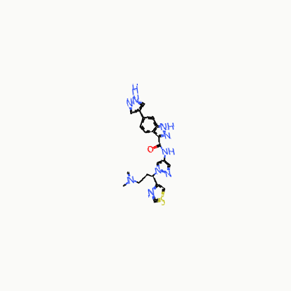 CN(C)CCC(c1cscn1)n1cc(NC(=O)c2n[nH]c3cc(-c4cn[nH]c4)ccc23)cn1